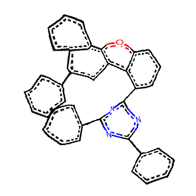 c1ccc(-c2nc(-c3ccccc3)nc(-c3cccc4oc5c6ccccc6c(-c6ccccc6)cc5c34)n2)cc1